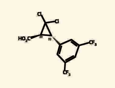 O=C(O)[C@@H]1[C@@H](c2cc(C(F)(F)F)cc(C(F)(F)F)c2)C1(Cl)Cl